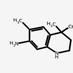 Cc1cc2c(cc1N)NCCC2(C)C